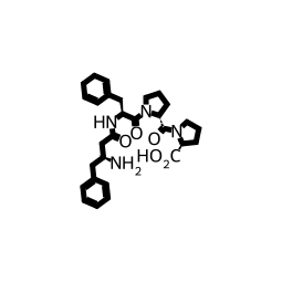 N[C@H](CC(=O)N[C@@H](CC1=CCCC=C1)C(=O)N1CCC[C@@H]1C(=O)N1CCC[C@@H]1C(=O)O)Cc1ccccc1